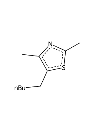 CCCCCc1sc(C)nc1C